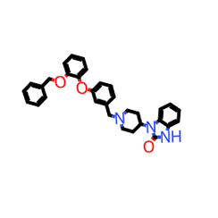 O=c1[nH]c2ccccc2n1C1CCN(Cc2cccc(Oc3ccccc3OCc3ccccc3)c2)CC1